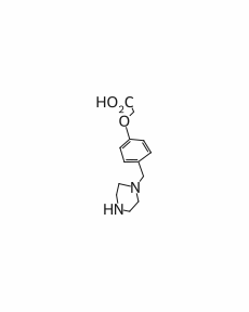 O=C(O)COc1ccc(CN2CCNCC2)cc1